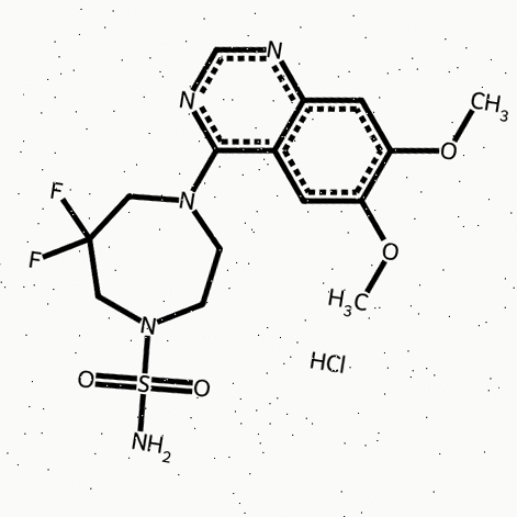 COc1cc2ncnc(N3CCN(S(N)(=O)=O)CC(F)(F)C3)c2cc1OC.Cl